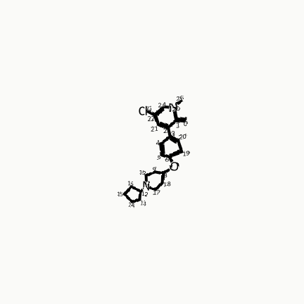 C=C1C(c2ccc(OC3CCN(C4CCCC4)CC3)cc2)=CC(Cl)=CN1C